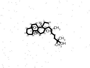 C[C@H](CCCC(C)(C)O)[C@H]1CC[C@@H]2[C@]1(C)CC[C@H]1[C@@]2(O)CCC2CCCC[C@@]21C